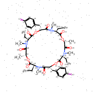 CC(C)C[C@H]1C(=O)O[C@H](Cc2ccc(I)cc2)C(=O)N(C)[C@@H](CC(C)C)C(=O)O[C@H](C)C(=O)N(C)[C@@H](CC(C)C)C(=O)O[C@H](Cc2ccc(I)cc2)C(=O)N(C)[C@@H](CC(C)C)C(=O)O[C@H](C)C(=O)N1C